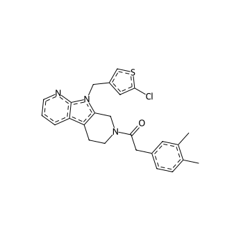 Cc1ccc(CC(=O)N2CCc3c(n(Cc4csc(Cl)c4)c4ncccc34)C2)cc1C